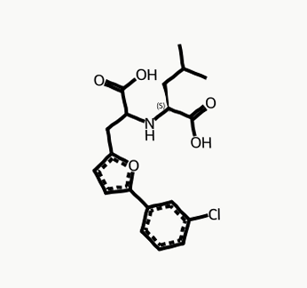 CC(C)C[C@H](NC(Cc1ccc(-c2cccc(Cl)c2)o1)C(=O)O)C(=O)O